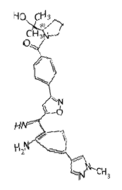 Cn1cc(-c2ccc(C(=N)c3cc(-c4ccc(C(=O)N5CCC[C@@H]5C(C)(C)O)cc4)no3)c(N)c2)cn1